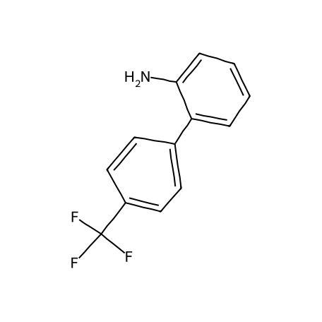 Nc1ccccc1-c1ccc(C(F)(F)F)cc1